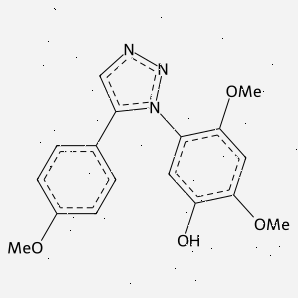 COc1ccc(-c2cnnn2-c2cc(O)c(OC)cc2OC)cc1